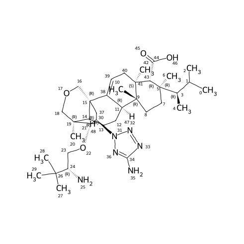 CC(C)[C@@H](C)[C@@]1(C)CC[C@]2(C)[C@H]3CC[C@@H]4[C@@]5(COC[C@]4(C)[C@@H](OC[C@H](N)C(C)(C)C)[C@H](n4nnc(N)n4)C5)C3=CC[C@@]2(C)[C@@H]1C(=O)O